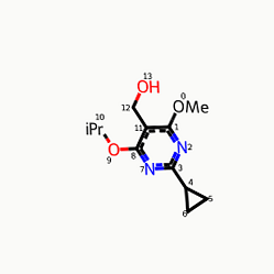 COc1nc(C2CC2)nc(OC(C)C)c1CO